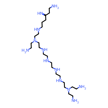 N=C(CCN)CCCNCCN(CCN)CCNCCNCCNCCNCCN(CCN)CCN